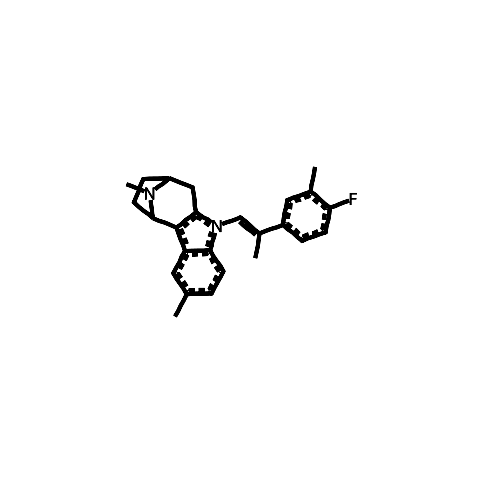 C/C(=C\n1c2c(c3cc(C)ccc31)C1CCC(C2)N1C)c1ccc(F)c(C)c1